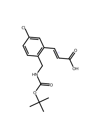 CC(C)(C)OC(=O)NCc1ccc(Cl)cc1/C=C/C(=O)O